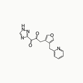 O=C(Cc1cocc1Cc1ccccn1)C(=O)c1nc[nH]n1